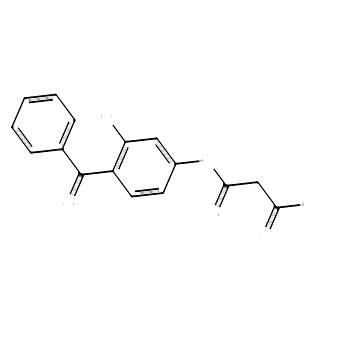 O=C(O)CC(=O)Oc1ccc(C(=O)c2ccccc2)c(O)c1